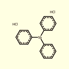 Cl.Cl.c1cc[c]([Sb]([c]2ccccc2)[c]2ccccc2)cc1